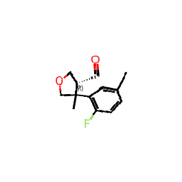 Cc1ccc(F)c(C2(C)COC[C@@H]2C=O)c1